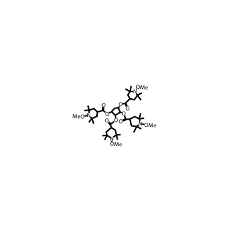 CON1C(C)(C)CC(C(=O)OC2CC(OC(=O)C3CC(C)(C)N(OC)C(C)(C)C3)C(OC(=O)C3CC(C)(C)N(OC)C(C)(C)C3)C2OC(=O)C2CC(C)(C)N(OC)C(C)(C)C2)CC1(C)C